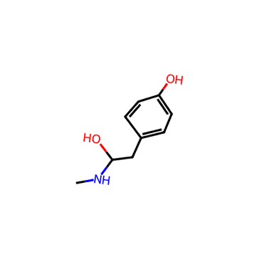 CNC(O)Cc1ccc(O)cc1